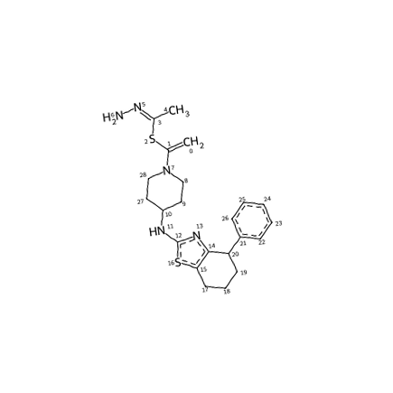 C=C(S/C(C)=N\N)N1CCC(Nc2nc3c(s2)CCCC3c2ccccc2)CC1